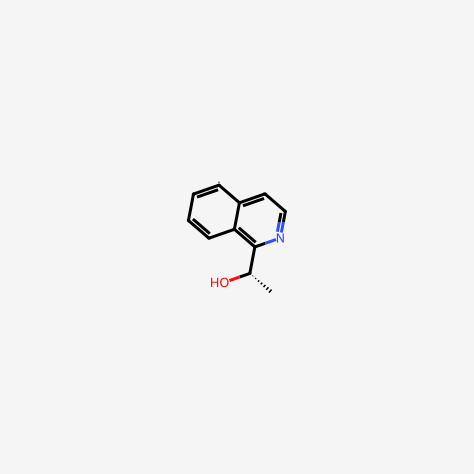 C[C@H](O)c1nccc2[c]cccc12